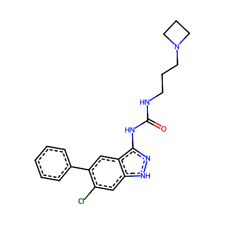 O=C(NCCCN1CCC1)Nc1n[nH]c2cc(Cl)c(-c3ccccc3)cc12